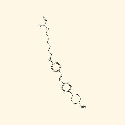 C=CC(=O)OCCCCCCOc1ccc(/C=N/c2ccc(C3CCC(CCC)CC3)cc2)cc1